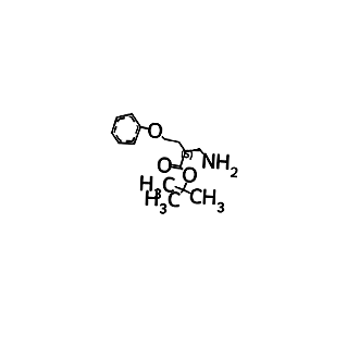 CC(C)(C)OC(=O)[C@H](CN)CCOc1ccccc1